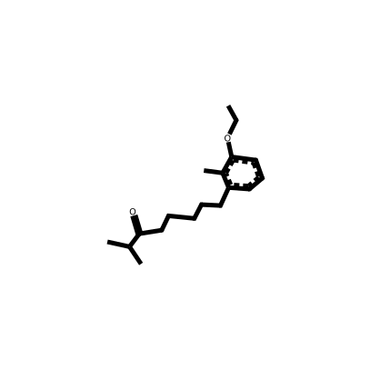 CCOc1cccc(CCCCCC(=O)C(C)C)c1C